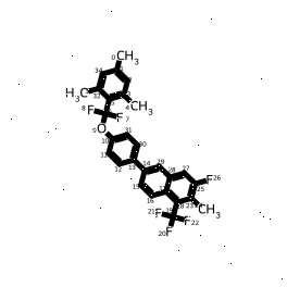 Cc1cc(C)c(C(F)(F)Oc2ccc(-c3ccc4c(C(F)(F)F)c(C)c(F)cc4c3)cc2)c(C)c1